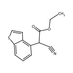 CCOC(=O)C(C#N)c1cccc2sccc12